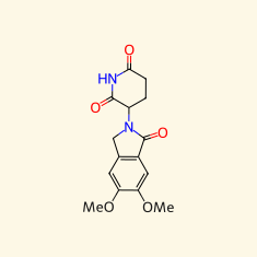 COc1cc2c(cc1OC)C(=O)N(C1CCC(=O)NC1=O)C2